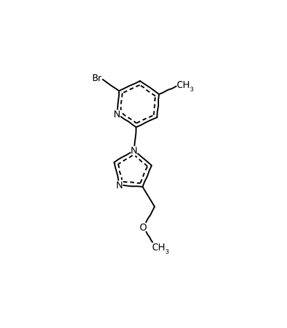 COCc1cn(-c2cc(C)cc(Br)n2)cn1